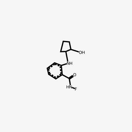 O=C(NF)c1ccccc1NC1CCCC1O